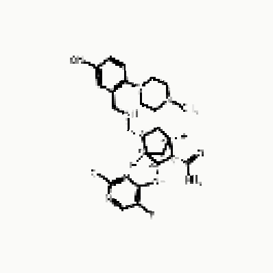 CN1CCN(c2ccc(N=O)cc2CNC[C@@H]2C[C@@H]3C[C@H]2[C@@H](Nc2nc(Cl)ncc2F)[C@H]3C(N)=O)CC1